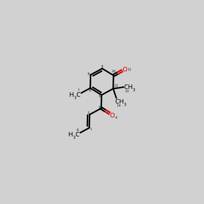 CC=CC(=O)C1=C(C)C=CC(=O)C1(C)C